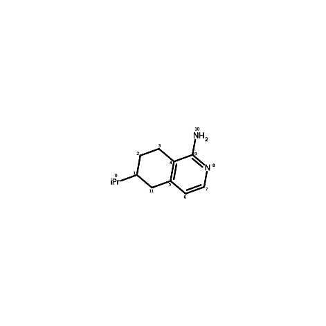 CC(C)C1CCc2c(ccnc2N)C1